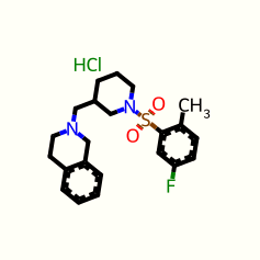 Cc1ccc(F)cc1S(=O)(=O)N1CCCC(CN2CCc3ccccc3C2)C1.Cl